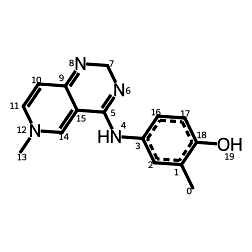 Cc1cc(NC2=NCN=C3C=CN(C)C=C32)ccc1O